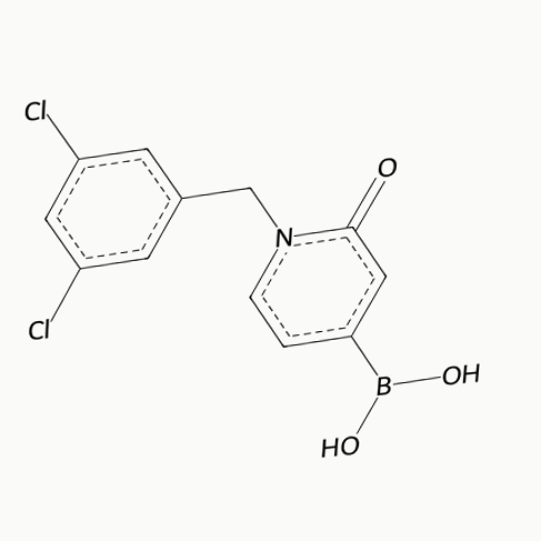 O=c1cc(B(O)O)ccn1Cc1cc(Cl)cc(Cl)c1